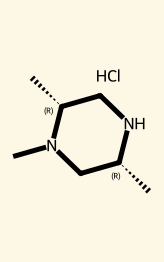 C[C@@H]1CN(C)[C@H](C)CN1.Cl